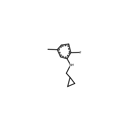 Cc1ccc(F)c(NCC2CC2)c1